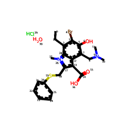 CCc1c(Br)c(O)c(CN(C)C)c2c(C(=O)O)c(CSc3ccccc3)n(C)c12.Cl.O